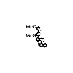 COc1ccnc(-c2cc(OC)c(-c3cccc4c(-c5nccc6ccccc56)nccc34)cn2)c1